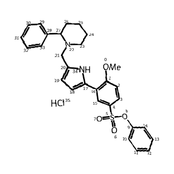 COc1ccc(S(=O)(=O)Oc2ccccc2)cc1-c1ccc(CN2CCCCC2c2ccccc2)[nH]1.Cl